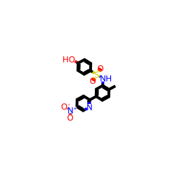 Cc1ccc(-c2ccc([N+](=O)[O-])cn2)cc1NS(=O)(=O)c1ccc(O)cc1